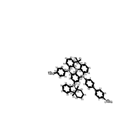 CC(C)(C)c1ccc(-c2ccc(N3c4cc(N5c6ccccc6C6(C)CCCCC56C)cc5c4B4c6c3cccc6C(C)(C)c3cccc(c34)N5c3ccc(C(C)(C)C)cc3)cc2)cc1